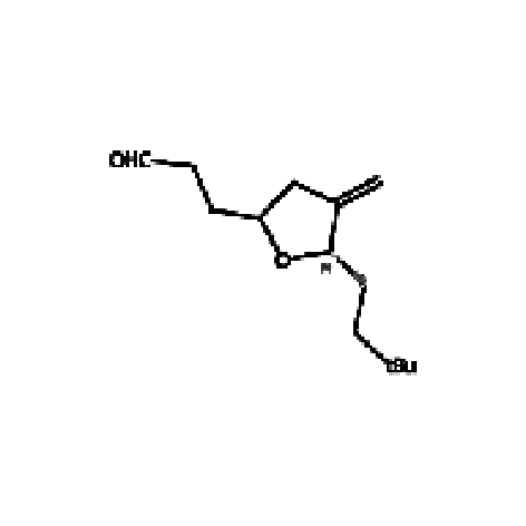 C=C1CC(CCC=O)O[C@H]1CCC(C)(C)C